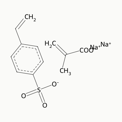 C=C(C)C(=O)[O-].C=Cc1ccc(S(=O)(=O)[O-])cc1.[Na+].[Na+]